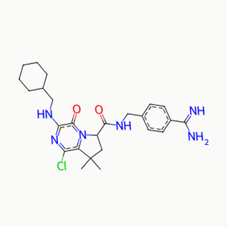 CC1(C)CC(C(=O)NCc2ccc(C(=N)N)cc2)n2c1c(Cl)nc(NCC1CCCCC1)c2=O